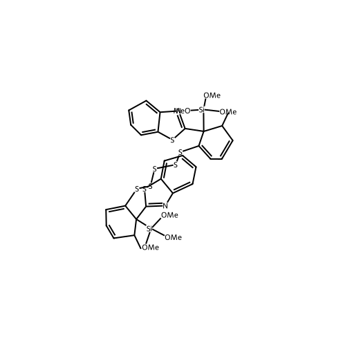 CO[Si](OC)(OC)C1(c2nc3ccccc3s2)C(SSSSSC2=CC=CC(C)C2(c2nc3ccccc3s2)[Si](OC)(OC)OC)=CC=CC1C